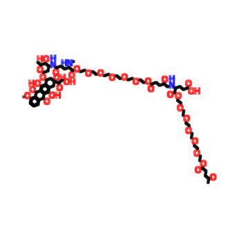 CNC(CCC(=O)NC1CC(O[C@H]2C[C@](O)(C(=O)CO)Cc3c(O)c4c(c(O)c32)C(=O)c2c(OC)cccc2C4=O)OC(C)C1O)C(=O)OCCOCCOCCOCCOCCOCCOC(=O)CCC(=O)CNC(CCC(=O)O)C(=O)OCCOCCOCCOCCOCCOCCOC(=O)CCC(C)=O